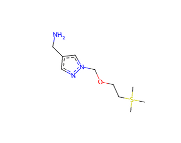 CS(C)(C)CCOCn1cc(CN)cn1